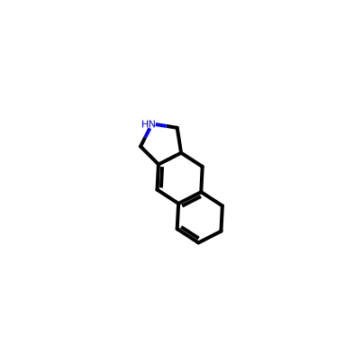 C1=CC2=C(CC1)CC1CNCC1=C2